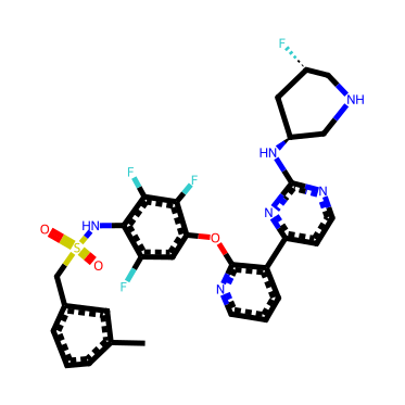 Cc1cccc(CS(=O)(=O)Nc2c(F)cc(Oc3ncccc3-c3ccnc(N[C@@H]4CNC[C@@H](F)C4)n3)c(F)c2F)c1